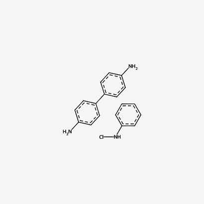 ClNc1ccccc1.Nc1ccc(-c2ccc(N)cc2)cc1